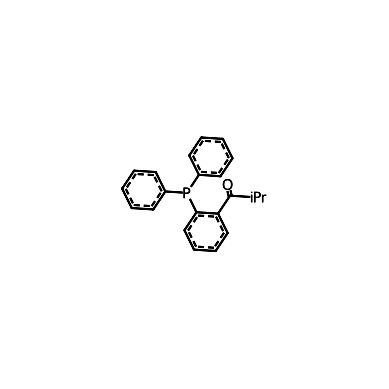 CC(C)C(=O)c1ccccc1P(c1ccccc1)c1ccccc1